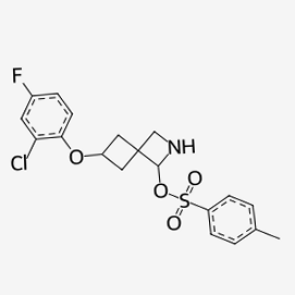 Cc1ccc(S(=O)(=O)OC2NCC23CC(Oc2ccc(F)cc2Cl)C3)cc1